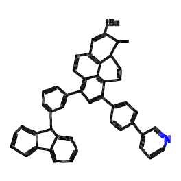 CC1C(C(C)(C)C)=Cc2ccc3c(-c4cccc(C5c6ccccc6-c6ccccc65)c4)cc(-c4ccc(-c5cccnc5)cc4)c4c3c2C1C=C4